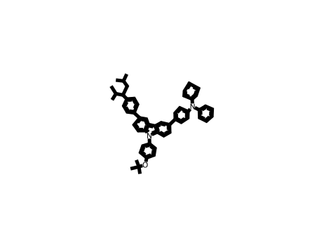 CC(C)CC(c1ccc(-c2ccc3c(c2)c2cc(-c4ccc(N(c5ccccc5)c5ccccc5)cc4)ccc2n3-c2ccc(OC(C)(C)C)cc2)cc1)C(C)C